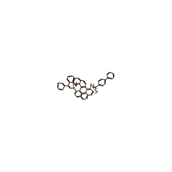 c1ccc(-c2ccc(-c3nc4c(-c5ccc6ccccc6c5-c5ccccc5-c5cc(-c6ccccc6)c6ccccc6n5)c5ccccc5cc4s3)cc2)cc1